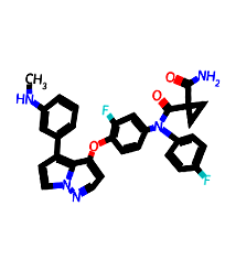 CNc1cccc(-c2ccn3nccc(Oc4ccc(N(C(=O)C5(C(N)=O)CC5)c5ccc(F)cc5)cc4F)c23)c1